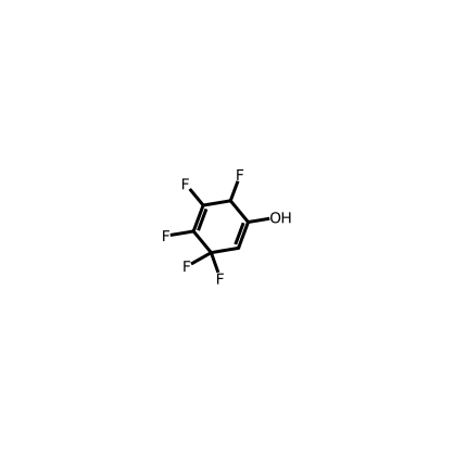 OC1=CC(F)(F)C(F)=C(F)C1F